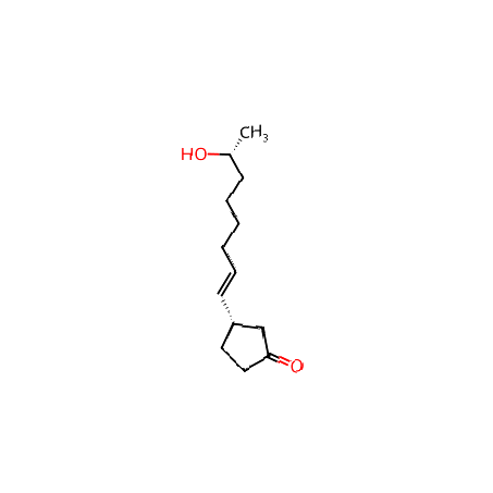 C[C@@H](O)CCCC/C=C/[C@H]1CCC(=O)C1